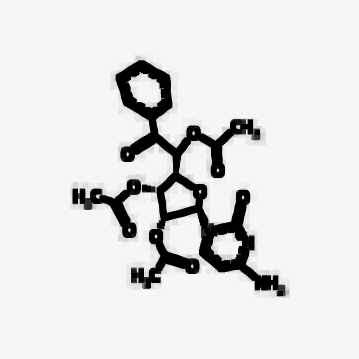 CC(=O)OC(C(=O)c1ccccc1)[C@H]1O[C@@H](n2ccc(N)nc2=O)[C@H](OC(C)=O)[C@@H]1OC(C)=O